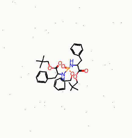 CC(C)(C)COC(=O)C(Cc1ccccc1)NP(=O)(NC(Cc1ccccc1)C(=O)OCC(C)(C)C)OCc1ccccc1